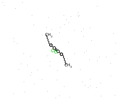 CCCCCCCCc1ccc(C2CCC3(CC2)CC2(CCC(c4ccc(CCCCCCCC)cc4)CC2)C3(Cl)Cl)cc1